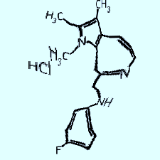 Cc1c(C)n(C)c2c(CNc3ccc(F)cc3)nccc12.Cl